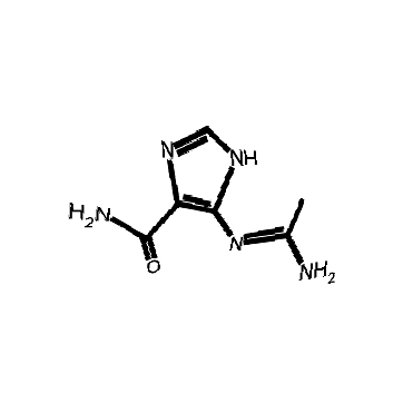 C/C(N)=N\c1[nH]cnc1C(N)=O